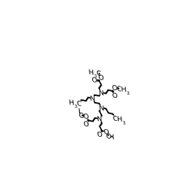 CCCCN(CCN(CCC(=O)OC)CCC(=O)OC)CCN(CCCC)CCN(CCC(=O)OOI)CCC(=O)OOI